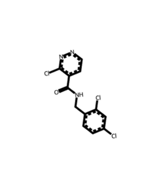 O=C(NCc1ccc(Cl)cc1Cl)c1ccnnc1Cl